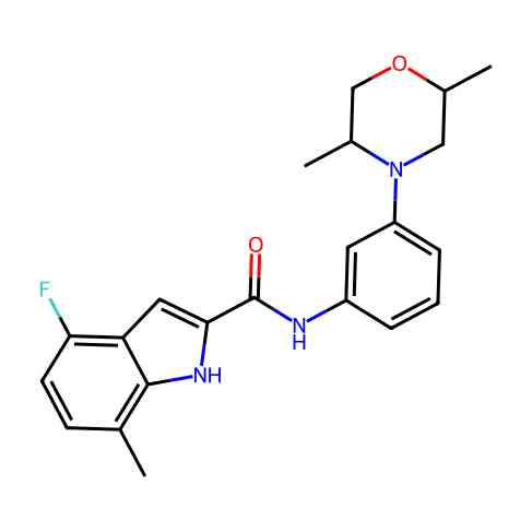 Cc1ccc(F)c2cc(C(=O)Nc3cccc(N4CC(C)OCC4C)c3)[nH]c12